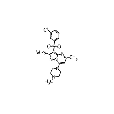 CSc1nn2c(N3CCN(C)CC3)cc(C)nc2c1S(=O)(=O)c1cccc(Cl)c1